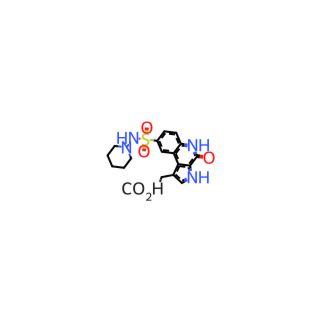 O=C(O)Cc1c[nH]c2c(=O)[nH]c3ccc(S(=O)(=O)NN4CCCCC4)cc3c12